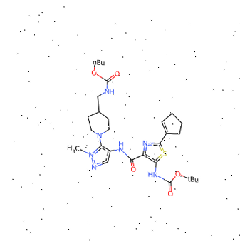 CCCCOC(=O)NCC1CCN(c2c(NC(=O)c3nc(C4=CCCC4)sc3NC(=O)OC(C)(C)C)cnn2C)CC1